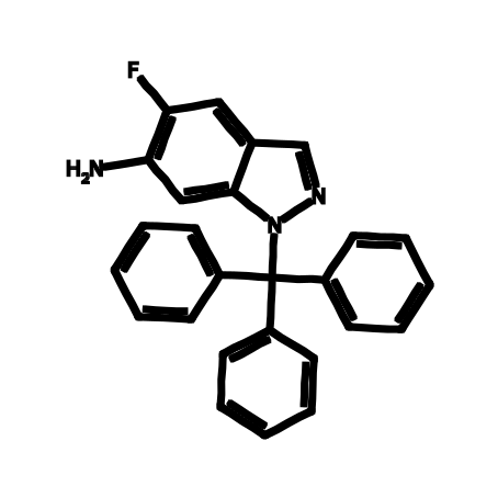 Nc1cc2c(cnn2C(c2ccccc2)(c2ccccc2)c2ccccc2)cc1F